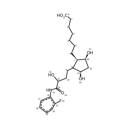 O=C(O)CCCCCC[C@@H]1C(CCC(O)C(=O)Nc2ccccc2F)[C@H](O)C[C@@H]1O